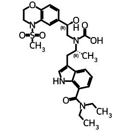 CCN(CC)C(=O)c1cccc2c(C[C@@H](C)N(C[C@H](O)c3ccc4c(c3)N(S(C)(=O)=O)CCO4)C(=O)O)c[nH]c12